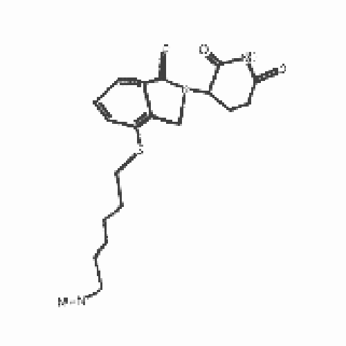 CNCCCCCCSc1cccc2c1CN(C1CCC(=O)NC1=O)C2=O